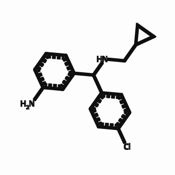 Nc1cccc(C(NCC2CC2)c2ccc(Cl)cc2)c1